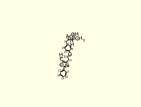 CB(O)NC(Cc1ccc(OCCc2nc(-c3ccccc3)oc2C)cc1)C(C)=O